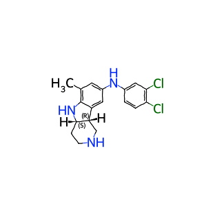 Cc1cc(Nc2ccc(Cl)c(Cl)c2)cc2c1N[C@H]1CCNC[C@@H]21